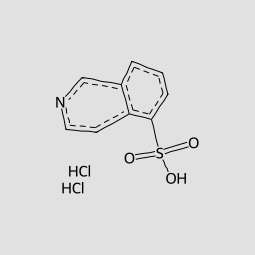 Cl.Cl.O=S(=O)(O)c1cccc2cnccc12